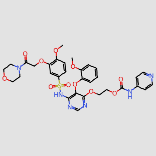 COc1ccc(S(=O)(=O)Nc2ncnc(OCCOC(=O)Nc3ccncc3)c2Oc2ccccc2OC)cc1OCC(=O)N1CCOCC1